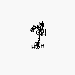 COc1cccc(-c2cc(NC(=O)NCCCCCCC(=O)NO)nc(-n3nc(C)cc3C)n2)c1